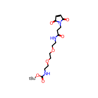 CC(C)(C)OC(=O)NCCOCCOCCNC(=O)CCN1C(=O)C=CC1=O